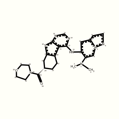 CN(C)c1cn2nccc2cc1Nc1ncnc2sc3c(c12)CC[C@H](C(=O)N1CCOCC1)C3